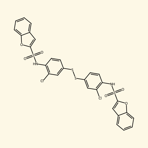 O=S(=O)(Nc1ccc(SSc2ccc(NS(=O)(=O)c3cc4ccccc4o3)c(Cl)c2)cc1Cl)c1cc2ccccc2o1